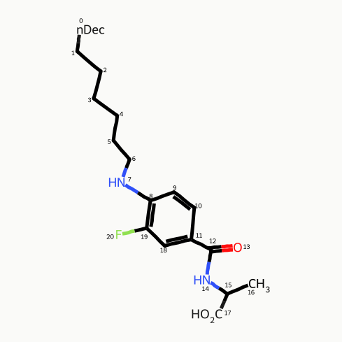 CCCCCCCCCCCCCCCCNc1ccc(C(=O)NC(C)C(=O)O)cc1F